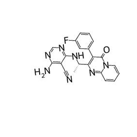 C[C@H](Nc1ncnc(N)c1C#N)c1nc2ccccn2c(=O)c1-c1cccc(F)c1